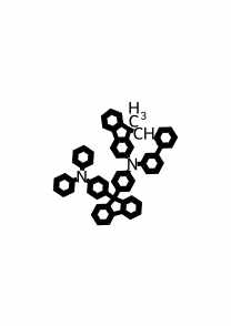 CC1(C)c2ccccc2-c2ccc(N(c3ccc(C4(c5ccc(N(c6ccccc6)c6ccccc6)cc5)c5ccccc5-c5ccccc54)cc3)c3cccc(-c4ccccc4)c3)cc21